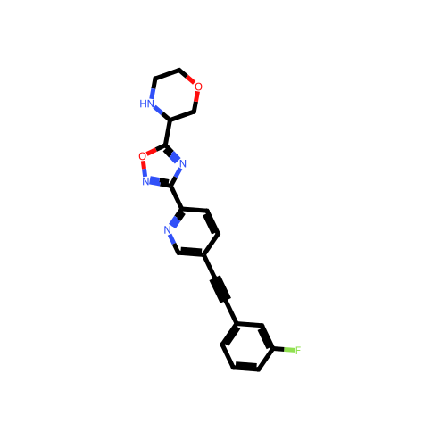 Fc1cccc(C#Cc2ccc(-c3noc(C4COCCN4)n3)nc2)c1